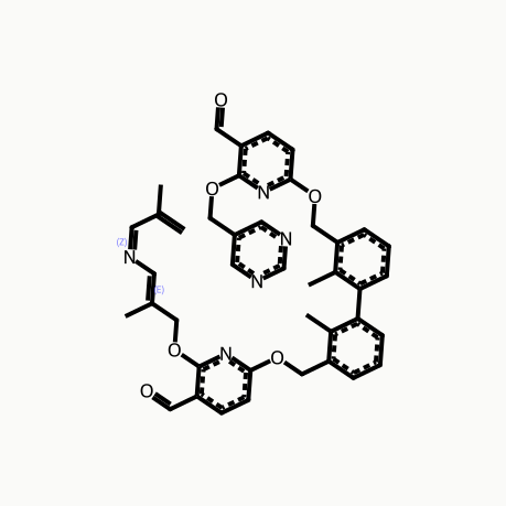 C=C(C)/C=N\C=C(/C)COc1nc(OCc2cccc(-c3cccc(COc4ccc(C=O)c(OCc5cncnc5)n4)c3C)c2C)ccc1C=O